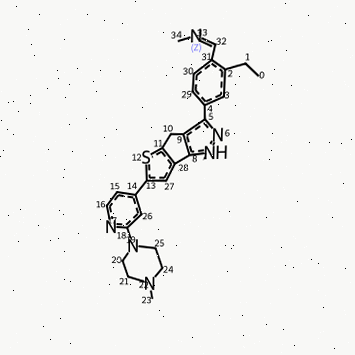 CCc1cc(-c2n[nH]c3c2Cc2sc(-c4ccnc(N5CCN(C)CC5)c4)cc2-3)ccc1/C=N\C